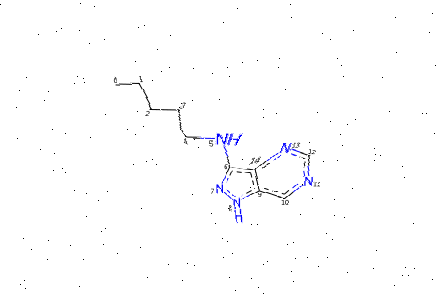 CCCCCNc1n[nH]c2cncnc12